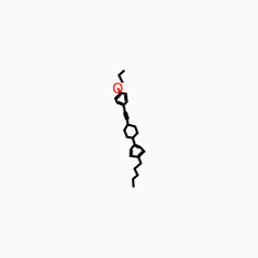 CCCCCc1ccc(C2CCC(C#Cc3ccc(OCCC)cc3)CC2)cc1